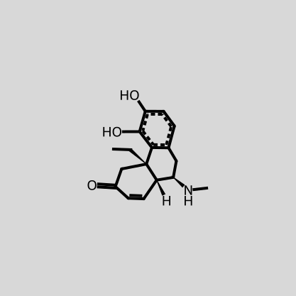 CC[C@]12CC(=O)C=C[C@H]1[C@H](NC)Cc1ccc(O)c(O)c12